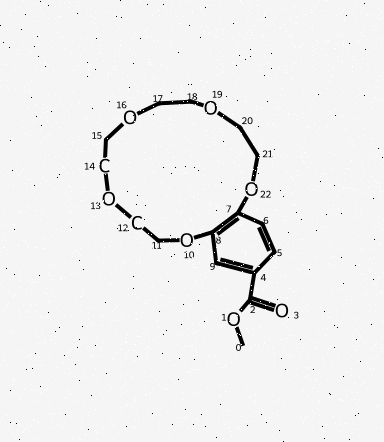 COC(=O)c1ccc2c(c1)OCCOCCOCCOCCO2